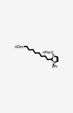 CCCCCCCCCCCCCCCCCCC1N(CCC)C=CN1CCCCC